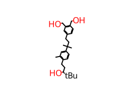 Cc1cc(C(C)(C)CCc2ccc(CO)c(CO)c2)ccc1CCC(O)C(C)(C)C